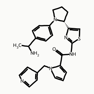 CC(N)c1ccc(N2CCC[C@@H]2c2csc(NC(=O)c3cccn3Cc3ccncc3)n2)cc1